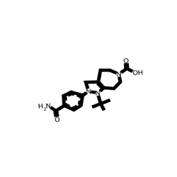 CC(C)(C)N1C2=C(CCN(C(=O)O)CC2)CN1c1ccc(C(N)=O)cc1